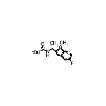 C[C@@H](N[S@+]([O-])C(C)(C)C)c1cc2cc(F)ccc2n1C